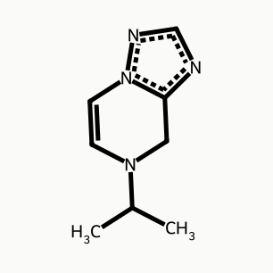 CC(C)N1C=Cn2ncnc2C1